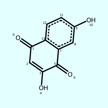 O=C1C=C(O)C(=O)c2cc(O)ccc21